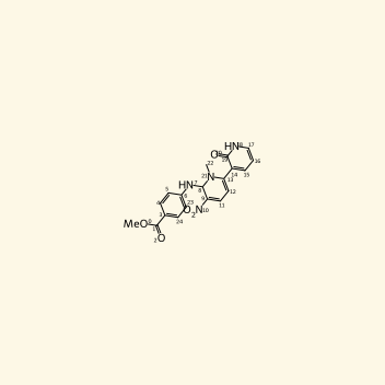 COC(=O)c1ccc(NC2C([N+](=O)[O-])=CC=C(c3ccc[nH]c3=O)N2C)cc1